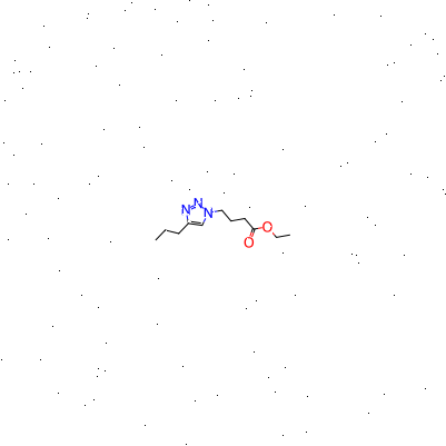 CCCc1cn(CCCC(=O)OCC)nn1